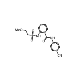 COCCS(=O)(=O)Nc1ccccc1C(=O)Nc1ccc(C#N)cc1